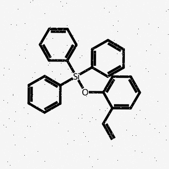 C=Cc1ccccc1O[Si](c1ccccc1)(c1ccccc1)c1ccccc1